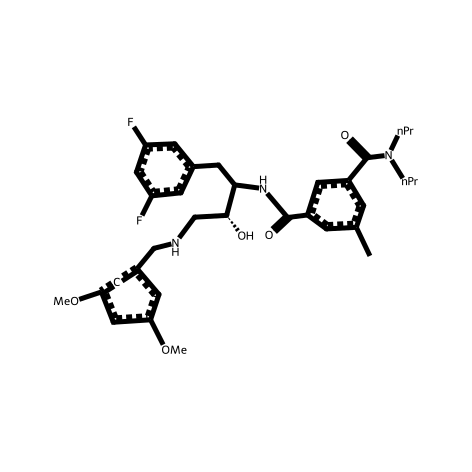 CCCN(CCC)C(=O)c1cc(C)cc(C(=O)NC(Cc2cc(F)cc(F)c2)[C@H](O)CNCc2cc(OC)cc(OC)c2)c1